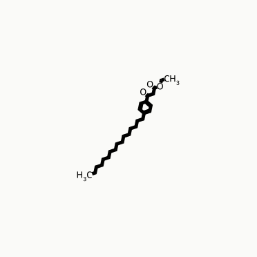 CCCCCCCCCCCCCCCCc1ccc(C(=O)CC(=O)OCC)cc1